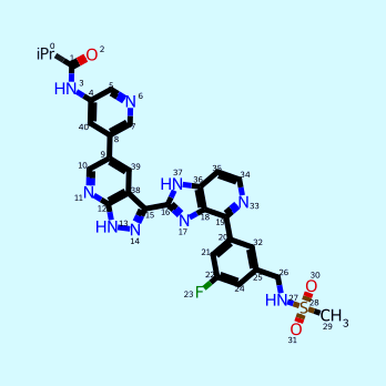 CC(C)C(=O)Nc1cncc(-c2cnc3[nH]nc(-c4nc5c(-c6cc(F)cc(CNS(C)(=O)=O)c6)nccc5[nH]4)c3c2)c1